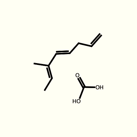 C=CCC=CC(C)=CC.O=C(O)O